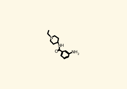 CCN1CCC(NC(=O)c2cccc(N)c2)CC1